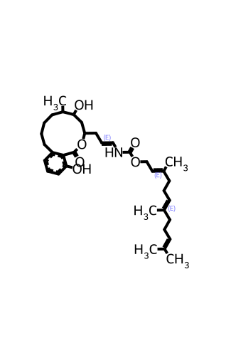 CC(C)=CCC/C(C)=C/CC/C(C)=C/COC(=O)N/C=C/CC1CC(O)C(C)CCCCc2cccc(O)c2C(=O)O1